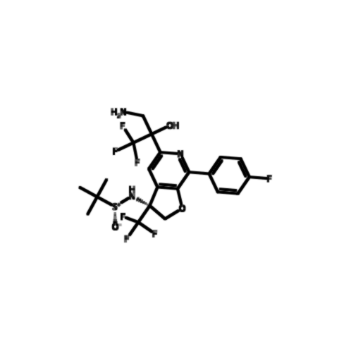 CC(C)(C)[S@@+]([O-])N[C@@]1(C(F)(F)F)COc2c1cc(C(O)(CN)C(F)(F)F)nc2-c1ccc(F)cc1